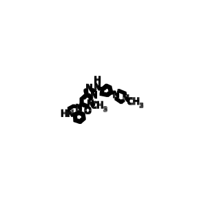 CN1CCN(c2ccc(Nc3ncc4cc(N5CCNc6ccccc65)c(=O)n(C)c4n3)cc2)CC1